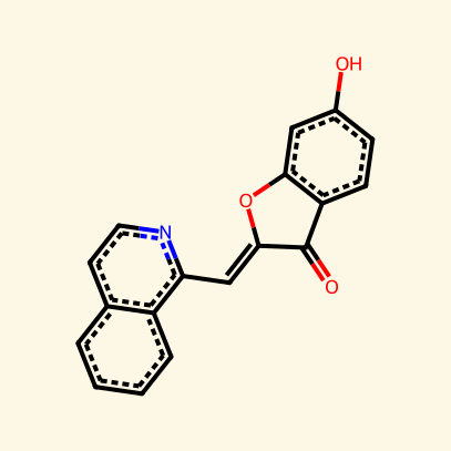 O=C1/C(=C/c2nccc3ccccc23)Oc2cc(O)ccc21